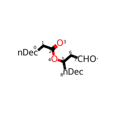 CCCCCCCCCCCC(=O)OC(C[C]=O)CCCCCCCCCC